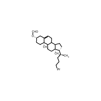 CC(C)CCC[C@H](C)[C@H]1CCC2C3CC=C4C[C@@H](OC=O)CC[C@]4(C)C3CC[C@@]21C